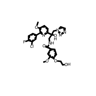 COc1cc(C(=O)NCC(O)(Cn2ccnn2)c2ccc(OC)c(-c3ccc(F)c(Cl)c3)n2)ccc1OCCO